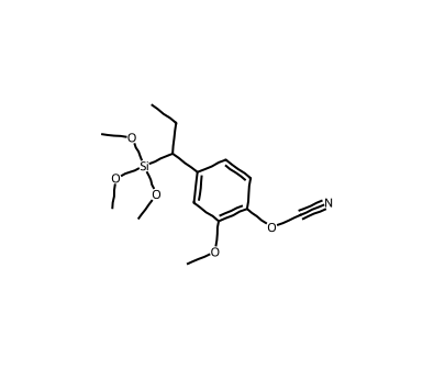 CCC(c1ccc(OC#N)c(OC)c1)[Si](OC)(OC)OC